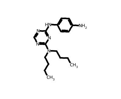 CCCCN(CCCC)c1ncnc(Nc2ccc(N)cc2)n1